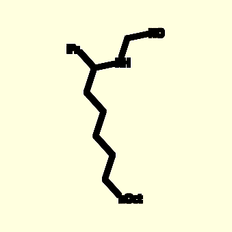 CCCCCCCCCCCCCC(NCN=O)C(C)C